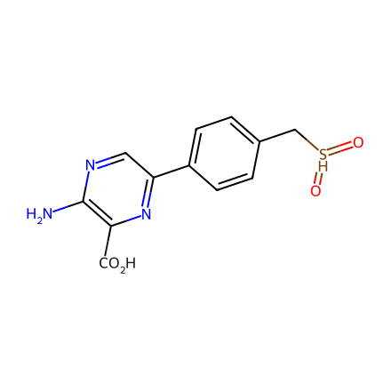 Nc1ncc(-c2ccc(C[SH](=O)=O)cc2)nc1C(=O)O